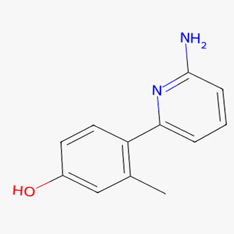 Cc1cc(O)ccc1-c1cccc(N)n1